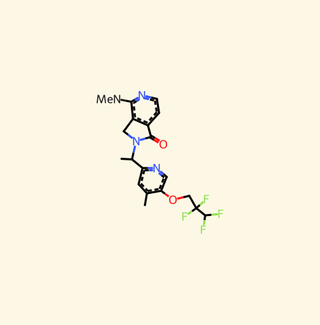 CNc1nccc2c1CN(C(C)c1cc(C)c(OCC(F)(F)C(F)F)cn1)C2=O